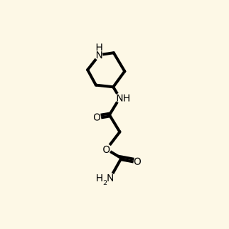 NC(=O)OCC(=O)NC1CCNCC1